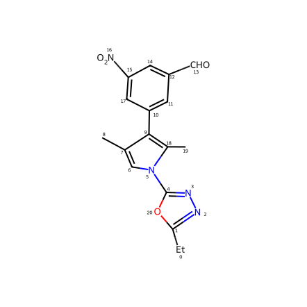 CCc1nnc(-n2cc(C)c(-c3cc(C=O)cc([N+](=O)[O-])c3)c2C)o1